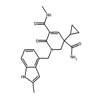 CNC(=O)C1=CC(C(N)=O)(C2CC2)CN(Cc2cccc3[nH]c(C)cc23)C1=O